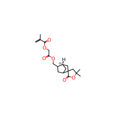 C=C(C)C(=O)OCC(=O)OCC1CC2C[C@H]1CC21CC(C)(C)OC1=O